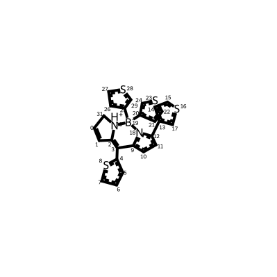 C1=CC2=C(c3cccs3)c3ccc(-c4ccsc4)n3[B-](c3ccsc3)(c3ccsc3)[NH+]2C1